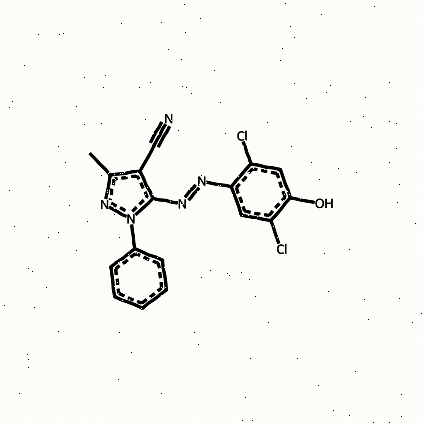 Cc1nn(-c2ccccc2)c(/N=N/c2cc(Cl)c(O)cc2Cl)c1C#N